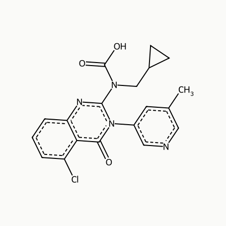 Cc1cncc(-n2c(N(CC3CC3)C(=O)O)nc3cccc(Cl)c3c2=O)c1